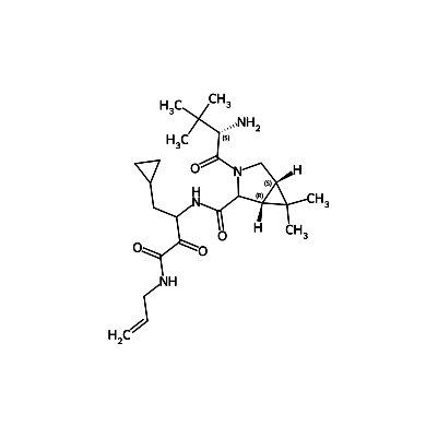 C=CCNC(=O)C(=O)C(CC1CC1)NC(=O)C1[C@@H]2[C@H](CN1C(=O)[C@@H](N)C(C)(C)C)C2(C)C